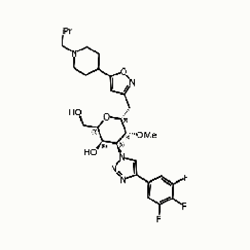 CO[C@@H]1[C@@H](n2cc(-c3cc(F)c(F)c(F)c3)nn2)[C@@H](O)[C@@H](CO)O[C@@H]1Cc1cc(C2CCN(CC(C)C)CC2)on1